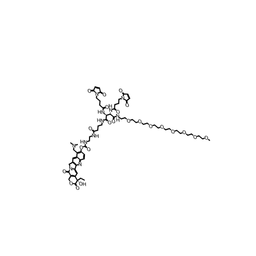 CC[C@@]1(O)C(=O)OCc2c1cc1n(c2=O)Cc2cc3c(CN(C)C)c(OC(=O)NCCNC(=O)CCCNC(=O)[C@@H](NC(=O)CCCN4C(=O)C=CC4=O)[C@H](NC(=O)CCCN4C(=O)C=CC4=O)C(=O)NCCOCCOCCOCCOCCOCCOCCOCCOC)ccc3nc2-1